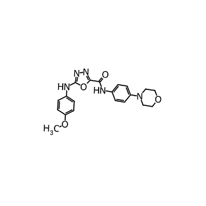 COc1ccc(Nc2nnc(C(=O)Nc3ccc(N4CCOCC4)cc3)o2)cc1